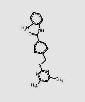 Cc1cc(C)nc(SCc2ccc(C(=O)Nc3ccccc3N)cc2)n1